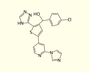 OC(c1ccc(Cl)cc1)c1cc(-c2ccnc(-n3ccnc3)c2)sc1-c1nnc[nH]1